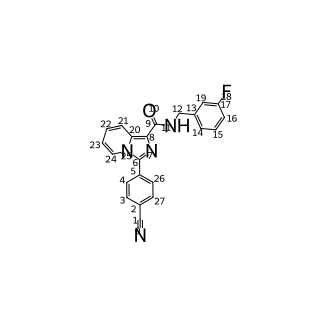 N#Cc1ccc(-c2nc(C(=O)NCc3cccc(F)c3)c3ccccn23)cc1